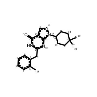 O=c1[nH]c(Cc2ccccc2I)nc2c1cnn2C1CCC(F)(F)CC1